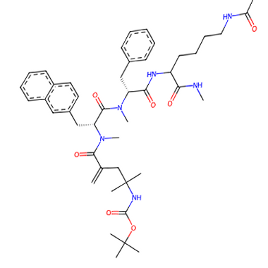 C=C(CC(C)(C)NC(=O)OC(C)(C)C)C(=O)N(C)[C@H](Cc1ccc2ccccc2c1)C(=O)N(C)[C@H](Cc1ccccc1)C(=O)NC(CCCCNC(C)=O)C(=O)NC